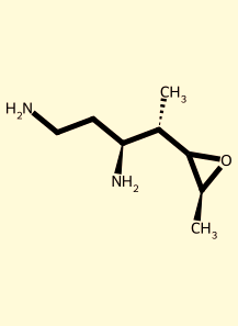 C[C@@H]1OC1[C@@H](C)[C@@H](N)CCN